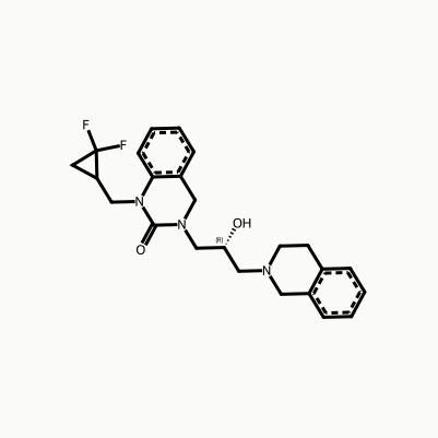 O=C1N(C[C@H](O)CN2CCc3ccccc3C2)Cc2ccccc2N1CC1CC1(F)F